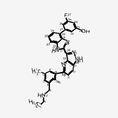 CCNCc1cc(C)cc(-c2ccc3[nH]nc(-c4nc5c(-c6cc(O)cc(F)c6)cccc5[nH]4)c3n2)c1